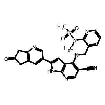 CN(c1ncccc1CNc1c(C#N)cnc2[nH]c(-c3cnc4c(c3)CC(=O)C4)cc12)S(C)(=O)=O